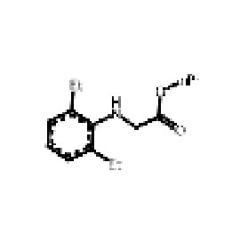 CCCOC(=O)CNc1c(CC)cccc1CC